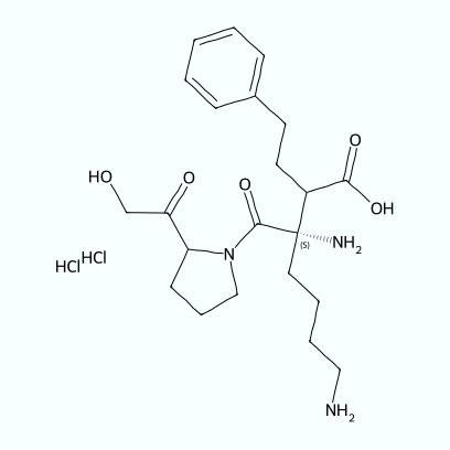 Cl.Cl.NCCCC[C@@](N)(C(=O)N1CCCC1C(=O)CO)C(CCc1ccccc1)C(=O)O